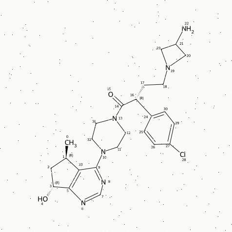 C[C@@H]1C[C@@H](O)c2ncnc(N3CCN(C(=O)[C@H](CCN4CC(N)C4)c4ccc(Cl)cc4)CC3)c21